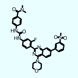 CN(C)C(=O)c1ccc(NC(=O)Nc2ccc(-c3nc(N4CCOCC4)c4ccc(-c5cccc(S(C)(=O)=O)c5)cc4n3)c(F)c2)cc1